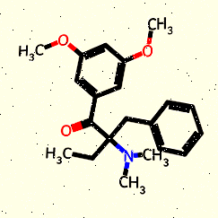 CCC(Cc1ccccc1)(C(=O)c1cc(OC)cc(OC)c1)N(C)C